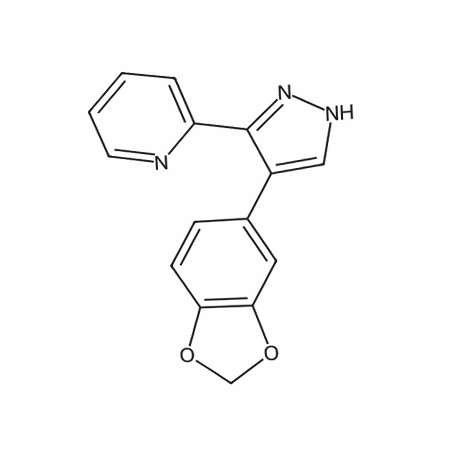 c1ccc(-c2n[nH]cc2-c2ccc3c(c2)OCO3)nc1